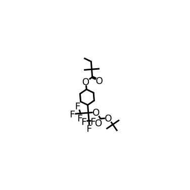 CCC(C)(C)C(=O)OC1CCC(C(OC(=O)OC(C)(C)C)(C(F)(F)F)C(F)(F)F)CC1